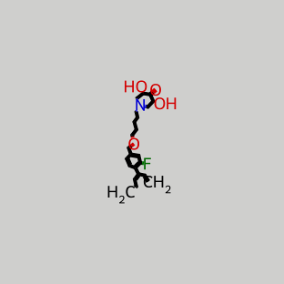 C=C/C=C(\C=C)c1ccc(COCCCCCN2C[C@@H](O)C(=O)[C@@H](O)C2)cc1F